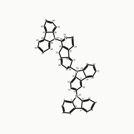 c1ccc2c(c1)c1ccccc1n2-c1ccc2c(c1)c1ccccc1n2-c1ccc2c(c1)-c1ccnc(-n3c4ccccc4c4ccccc43)c1C2